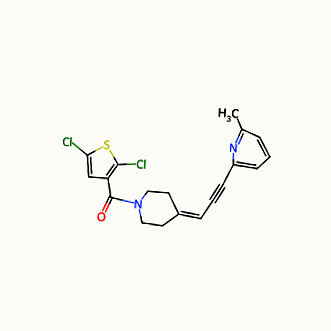 Cc1cccc(C#CC=C2CCN(C(=O)c3cc(Cl)sc3Cl)CC2)n1